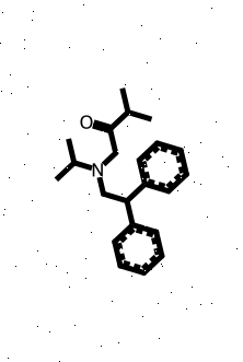 CC(C)C(=O)CN(CC(c1ccccc1)c1ccccc1)C(C)C